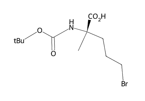 CC(C)(C)OC(=O)N[C@@](C)(CCCBr)C(=O)O